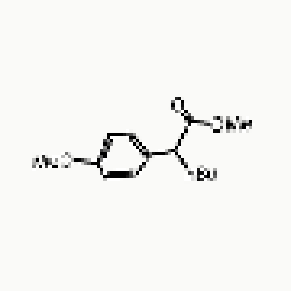 CCCCC(C(=O)OC)c1ccc(OC)cc1